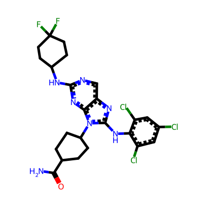 NC(=O)C1CCC(n2c(Nc3c(Cl)cc(Cl)cc3Cl)nc3cnc(NC4CCC(F)(F)CC4)nc32)CC1